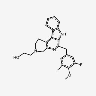 COc1c(F)cc(Cc2nc3c(c4c2[nH]c2ccccc24)CCN(CCO)C3)cc1F